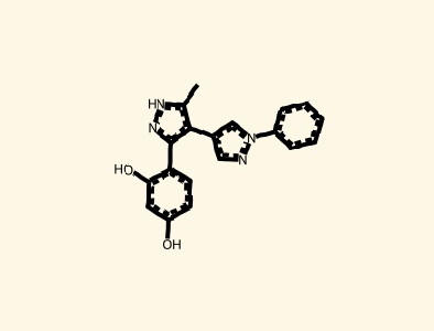 Cc1[nH]nc(-c2ccc(O)cc2O)c1-c1cnn(-c2ccccc2)c1